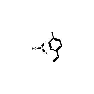 C=Cc1ccc(C)cc1.O=[PH](O)O